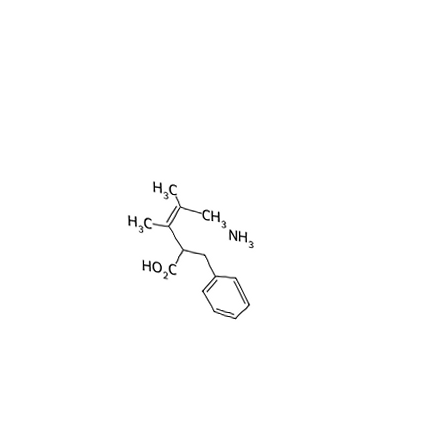 CC(C)=C(C)C(Cc1ccccc1)C(=O)O.N